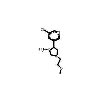 COCCN1CC(c2cncc(Cl)c2)[C@H](N)C1